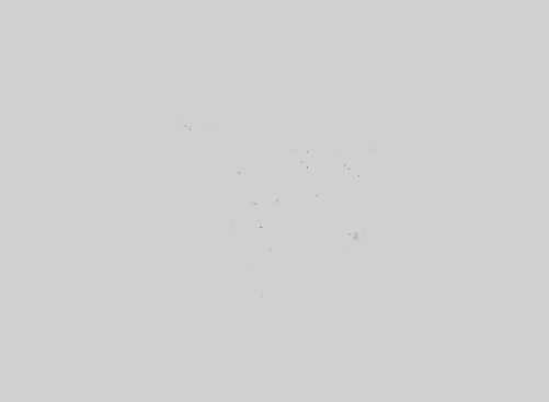 C=c1cc(OC)c(O)c/c1=c1/c(=C\N)n(C)c(=O)n1-c1c(F)cc(C#N)cc1F